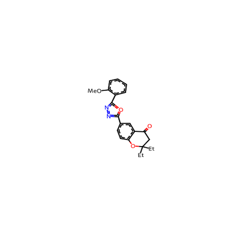 CCC1(CC)CC(=O)c2cc(-c3nnc(-c4ccccc4OC)o3)ccc2O1